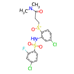 CN(C)C(=O)CC[S+]([O-])c1ccc(Cl)cc1NS(=O)(=O)c1ccc(Cl)cc1F